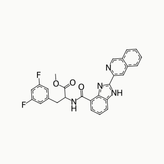 COC(=O)C(Cc1cc(F)cc(F)c1)NC(=O)c1cccc2[nH]c(-c3cc4ccccc4cn3)nc12